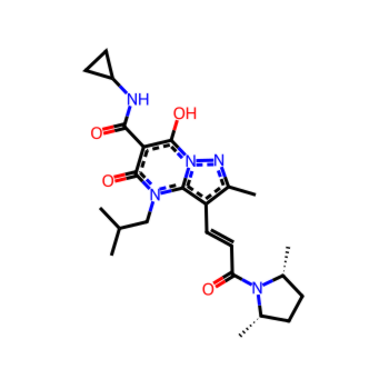 Cc1nn2c(O)c(C(=O)NC3CC3)c(=O)n(CC(C)C)c2c1/C=C/C(=O)N1[C@H](C)CC[C@@H]1C